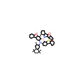 Cc1cc2c(cc1N1c3cc4c(oc5ccccc54)c4c3B(c3c1ccc1c3sc3ccccc31)n1c3c-4cccc3c3oc4ccccc4c31)C(C)(C)CCC2(C)C